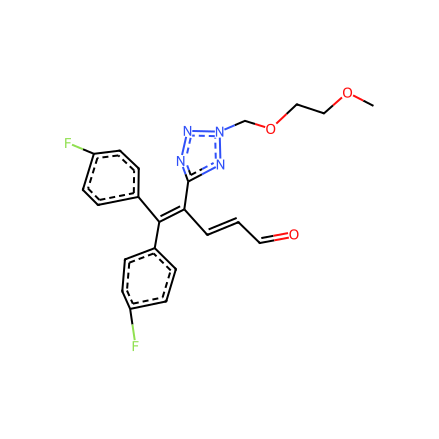 COCCOCn1nnc(C(C=CC=O)=C(c2ccc(F)cc2)c2ccc(F)cc2)n1